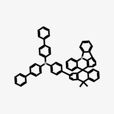 CC1(C)c2ccccc2C2(c3ccccc3-n3c4ccccc4c4cccc2c43)c2cc(-c3ccc(N(c4ccc(-c5ccccc5)cc4)c4ccc(-c5ccccc5)cc4)cc3)ccc21